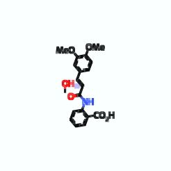 CO.COc1ccc(/C=C/C(=O)Nc2ccccc2C(=O)O)cc1OC